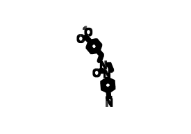 COC(=O)c1ccc(CCN2CCN(c3ccc(C#N)cc3)C2=O)cc1